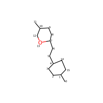 CC1CCC(CCC2CCC(C)CO2)CC1